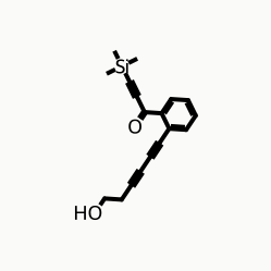 C[Si](C)(C)C#CC(=O)c1ccccc1C#CC#CCCO